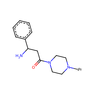 CC(C)N1CCN(C(=O)CC(N)c2ccccc2)CC1